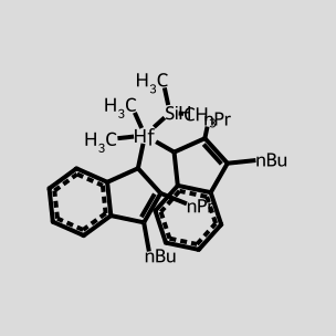 CCCCC1=C(CCC)[CH]([Hf]([CH3])([CH3])([CH]2C(CCC)=C(CCCC)c3ccccc32)[SiH](C)C)c2ccccc21